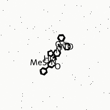 CSc1cn(CC2(O)CCN(C(=O)N3CCOC[C@H]3c3ccccc3)CC23CCCC3)c(=O)cc1-c1ccccc1